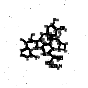 CC(c1cccc(F)c1)N(C)c1nc2nc(C(=N)NC(=O)O)nc(N[C@H](C)C3CCC3)c2n1Cc1ccc(C(F)(F)F)c(F)c1